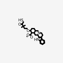 COC(=O)C1C(OCCC(C)(C)C(=O)CS)CCC2CN3CCc4c([nH]c5ccccc45)C3CC21